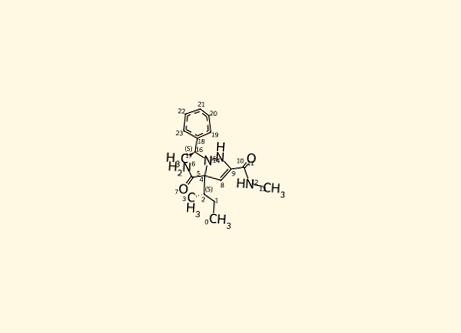 CC[C@H](C)C1(C(N)=O)C=C(C(=O)NC)NN1[C@@H](C)c1ccccc1